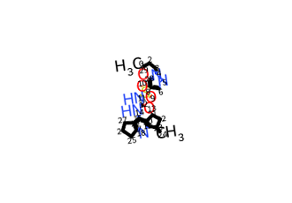 CC1CCn2ncc(S(=O)(=O)NC(=O)Nc3c4c(nc5c3CCC5C)CCC4)c2O1